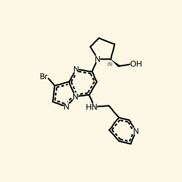 OC[C@@H]1CCCN1c1cc(NCc2cccnc2)n2ncc(Br)c2n1